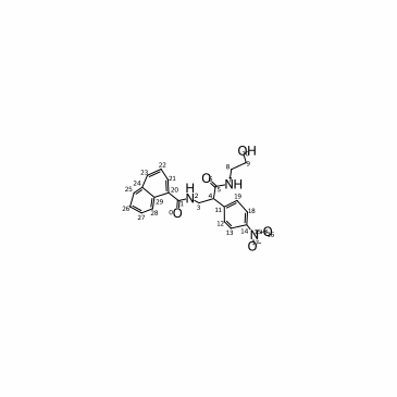 O=C(NCC(C(=O)NCCO)c1ccc([N+](=O)[O-])cc1)c1cccc2ccccc12